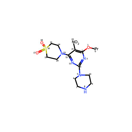 CC(C)Oc1nc(N2CCNCC2)nc(N2CCS(=O)(=O)CC2)c1[N+](=O)[O-]